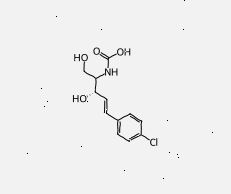 O=C(O)NC(CO)[C@@H](O)/C=C/c1ccc(Cl)cc1